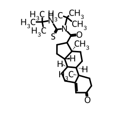 CC(C)(C)NC(=S)N(C(=O)C1CC[C@H]2[C@@H]3CCC4=CC(=O)CC[C@]4(C)[C@@H]3CC[C@]12C)C(C)(C)C